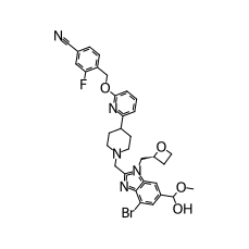 COC(O)c1cc(Br)c2nc(CN3CCC(c4cccc(OCc5ccc(C#N)cc5F)n4)CC3)n(C[C@@H]3CCO3)c2c1